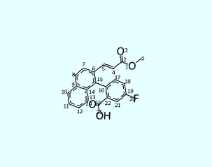 COC(=O)C=Cc1ccc2ccccc2c1-c1ccc(F)cc1C(=O)O